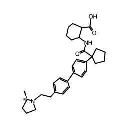 C[C@@H]1CCCN1CCc1ccc(-c2ccc(C3(C(=O)NC4CCCCC4C(=O)O)CCCC3)cc2)cc1